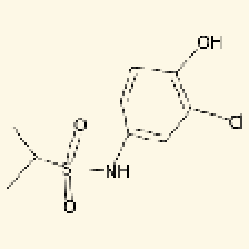 CC(C)S(=O)(=O)Nc1ccc(O)c(Cl)c1